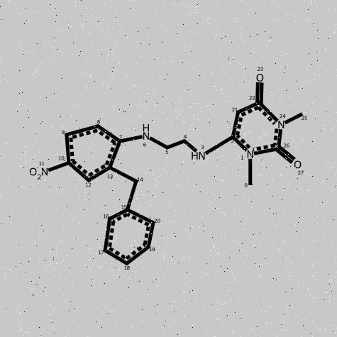 Cn1c(NCCNc2ccc([N+](=O)[O-])cc2Cc2ccccc2)cc(=O)n(C)c1=O